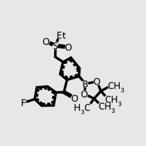 CCS(=O)(=O)Cc1ccc(B2OC(C)(C)C(C)(C)O2)c(C(=O)c2ccc(F)cc2)c1